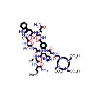 CSCCC(NC(=O)[C@H](CC(C)C)NC(=O)C(Cc1cnc[nH]1)NC(=O)CNC(=O)[C@@H](NC(=O)[C@H](C)NC(=O)C(Cc1c[nH]c2c1CCC=C2)NC(=O)[C@H](CCC(N)=O)NC(=O)c1ccc(NC(=O)CNC(=O)CN2CCN(CC(=O)O)CCN(CC(=O)O)CCN(CC(=O)O)CC2)cc1)C(C)C)C(N)=O